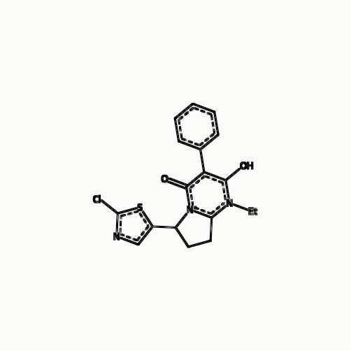 CCn1c(O)c(-c2ccccc2)c(=O)[n+]2c1CCC2c1cnc(Cl)s1